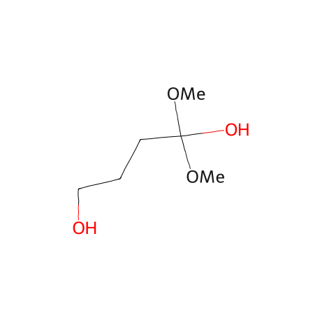 COC(O)(CCCO)OC